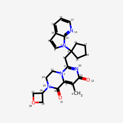 Cc1c2n(c(CC3(n4ccc5cccnc54)CCCC3)nc1=O)CCN(C1COC1)C2=O